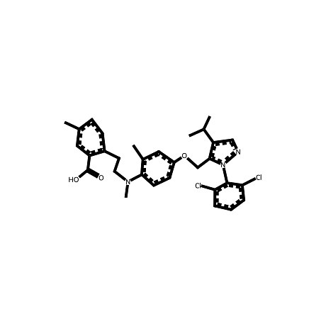 Cc1ccc(CCN(C)c2ccc(OCc3c(C(C)C)cnn3-c3c(Cl)cccc3Cl)cc2C)c(C(=O)O)c1